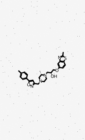 Cc1ccc(-c2cc(CN3CCN(C[C@@H](O)COc4ccc5sc(C)nc5c4)[C@@H](C)C3)no2)cc1